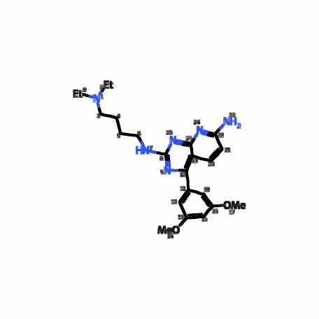 CCN(CC)CCCCNc1nc(-c2cc(OC)cc(OC)c2)c2ccc(N)nc2n1